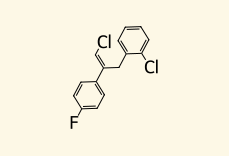 Fc1ccc(C(=CCl)Cc2ccccc2Cl)cc1